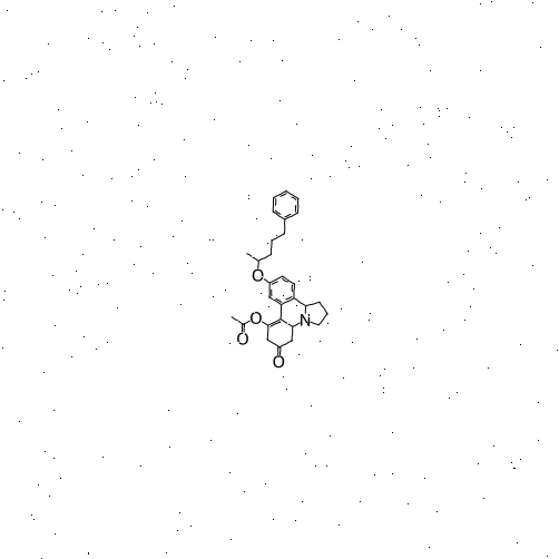 CC(=O)OC1=C2c3cc(OC(C)CCCc4ccccc4)ccc3C3CCCN3C2CC(=O)C1